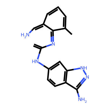 C=C(/N=C1/C(C)=CC=C/C1=C/N)Nc1ccc2c(N)n[nH]c2c1